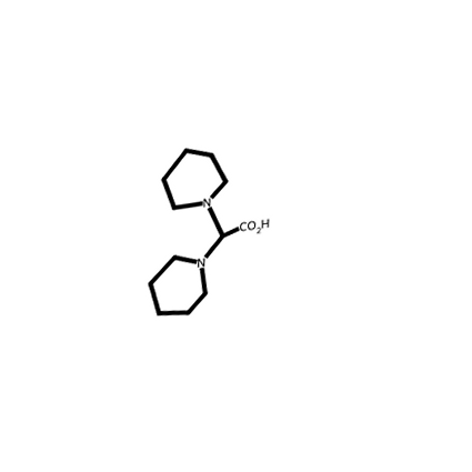 O=C(O)C(N1CCCCC1)N1CCCCC1